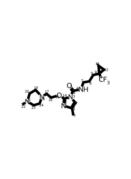 Cc1cn(C(=O)NCCCC2(C(F)(F)F)CC2)c(OCCN2CCN(C)CC2)n1